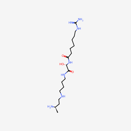 C[C@@H](N)CCNCCCCNC(=O)[C@H](O)NC(=O)CCCCCCNC(=N)N